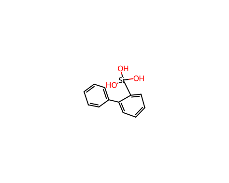 O[Si](O)(O)c1ccccc1-c1ccccc1